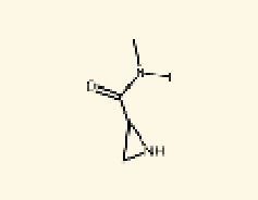 CN(I)C(=O)C1CN1